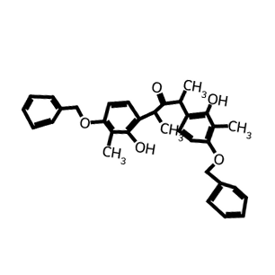 Cc1c(OCc2ccccc2)ccc(C(C)C(=O)C(C)c2ccc(OCc3ccccc3)c(C)c2O)c1O